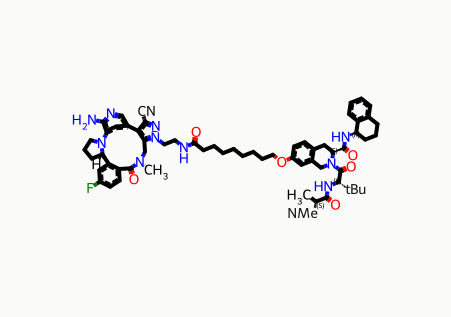 CN[C@@H](C)C(=O)N[C@H](C(=O)N1Cc2cc(OCCCCCCCCC(=O)NCCn3nc(C#N)c4c3CN(C)C(=O)c3ccc(F)cc3[C@H]3CCCN3c3cc-4cnc3N)ccc2C[C@H]1C(=O)N[C@@H]1CCCc2ccccc21)C(C)(C)C